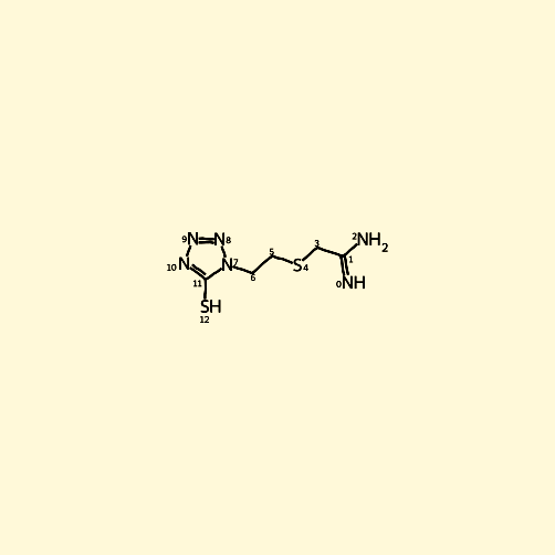 N=C(N)CSCCn1nnnc1S